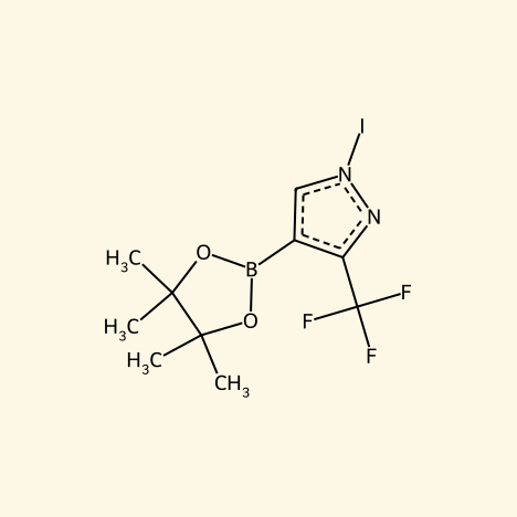 CC1(C)OB(c2cn(I)nc2C(F)(F)F)OC1(C)C